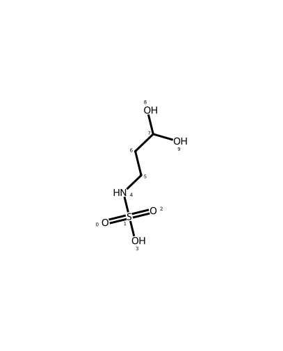 O=S(=O)(O)NCCC(O)O